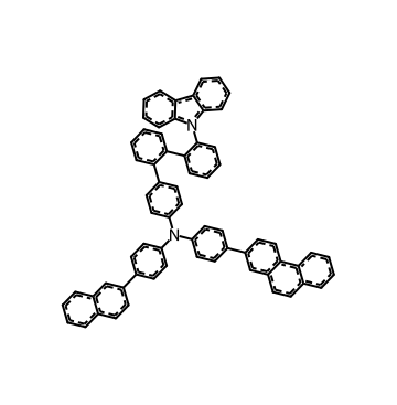 c1ccc(-c2ccccc2-n2c3ccccc3c3ccccc32)c(-c2ccc(N(c3ccc(-c4ccc5ccccc5c4)cc3)c3ccc(-c4ccc5c(ccc6ccccc65)c4)cc3)cc2)c1